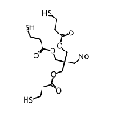 O=NCC(COC(=O)CCS)(COC(=O)CCS)COC(=O)CCS